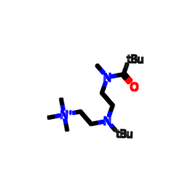 CN(CCN(CC[N+](C)(C)C)C(C)(C)C)C(=O)C(C)(C)C